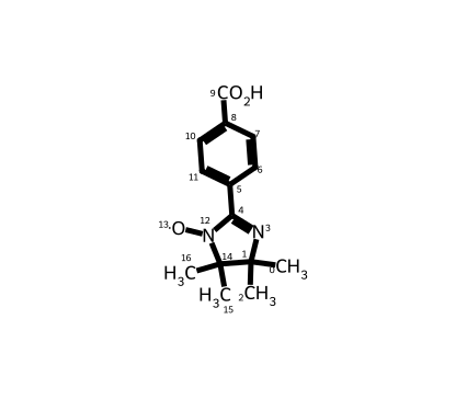 CC1(C)N=C(c2ccc(C(=O)O)cc2)N([O])C1(C)C